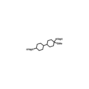 CCCCCCCC1CCC(C2CCC(CCCCCCC)(SC)CC2)CC1